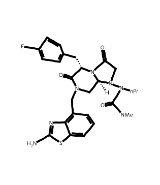 CCCN(C(=O)NC)N1CC(=O)N2[C@@H](Cc3ccc(F)cc3)C(=O)N(Cc3cccc4sc(N)nc34)C[C@@H]21